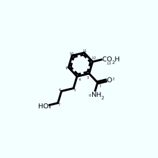 NC(=O)c1c(CCCO)cccc1C(=O)O